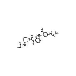 C=CC(=O)NC1CCCN(C(=O)Nc2ccnc(Nc3ccc(N4CCN(C)CC4)cc3OC)n2)C1